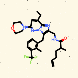 C=CCCC(C)C(=O)NCc1nc2c(CC)cc(N3CCOCC3)nn2c1Cc1cccc(C(F)(F)F)c1C